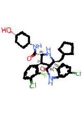 O=C(N[C@H]1CC[C@@H](O)CC1)[C@@H]1N[C@@H](CC2CCCC2)[C@@]2(C(=O)Nc3cc(Cl)ccc32)[C@H]1c1cccc(Cl)c1F